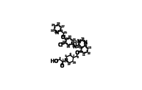 O=C(CO)N1CCC(COc2cccc3ncnc(Nc4ccc(OCc5ccccn5)c(Cl)c4)c23)CC1